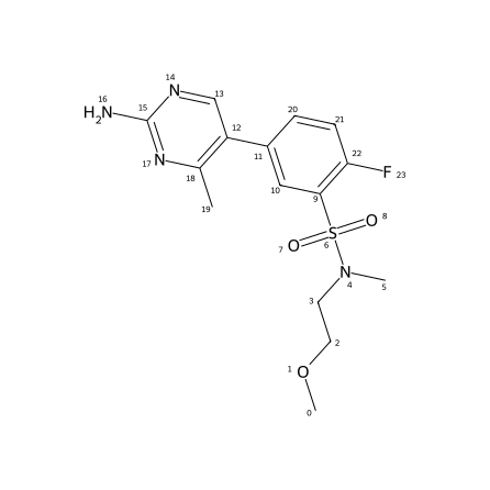 COCCN(C)S(=O)(=O)c1cc(-c2cnc(N)nc2C)ccc1F